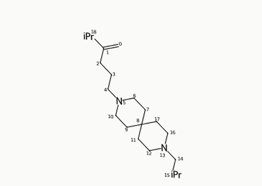 C=C(CCCN1CCC2(CC1)CCN(CC(C)C)CC2)C(C)C